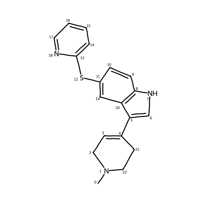 CN1CC=C(c2c[nH]c3ccc(Sc4ccccn4)cc23)CC1